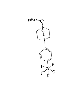 CCCCOC12CCC(c3ccc(S(F)(F)(F)(F)F)cc3)(CC1)CC2